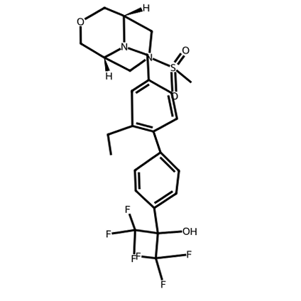 CCc1cc(CN2[C@@H]3COC[C@H]2CN(S(C)(=O)=O)C3)ccc1-c1ccc(C(O)(C(F)(F)F)C(F)(F)F)cc1